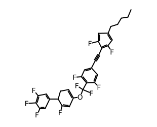 CCCCCc1cc(F)c(C#Cc2cc(F)c(C(F)(F)OC3=CCC(c4cc(F)c(F)c(F)c4)C(F)=C3)c(F)c2)c(F)c1